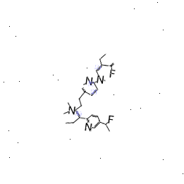 C=C(/C=C\C(=N/C)N(C)/C=C(/CC)C(=C)F)CC/C(=C(/CC)c1ccc(C(C)F)cn1)N(C)C